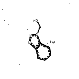 F.OCn1nnc2ccccc21